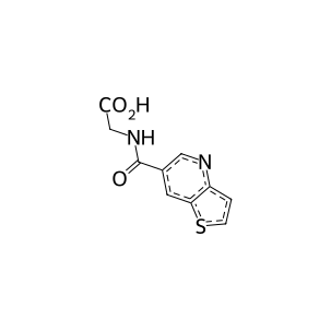 O=C(O)CNC(=O)c1cnc2ccsc2c1